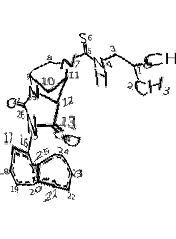 CC(C)CNC(=S)N1CC2CC1C1C(=O)N(c3cccc4ccccc34)C(=O)N21